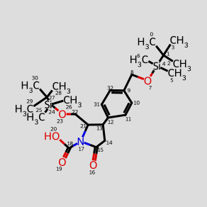 CC(C)(C)[Si](C)(C)OCc1ccc(C2CC(=O)N(C(=O)O)C2CO[Si](C)(C)C(C)(C)C)cc1